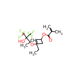 C=C(C)C(=O)OC1CC(CC)(OC(C)(C)C(O)(C(F)(F)F)C(F)(F)F)C1